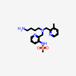 Cc1cccnc1CN(CCCCN)Cc1ncccc1NS(C)(=O)=O